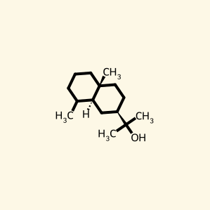 CC1CCC[C@]2(C)CC[C@@H](C(C)(C)O)C[C@@H]12